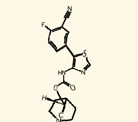 N#Cc1cc(-c2scnc2NC(=O)O[C@H]2CN3CCC2CC3)ccc1F